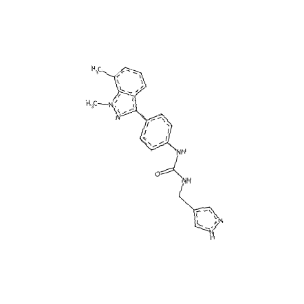 Cc1cccc2c(-c3ccc(NC(=O)NCc4cn[nH]c4)cc3)nn(C)c12